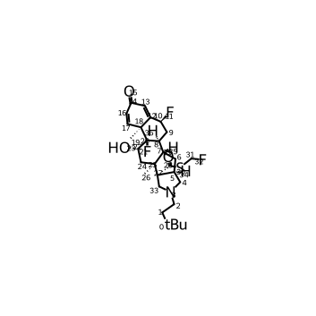 CC(C)(C)CCN1C[C@@H]2C[C@H]3[C@@H]4C[C@H](F)C5=CC(=O)C=C[C@]5(C)[C@@]4(F)[C@@H](O)C[C@]3(C)[C@]2(C(=O)SCF)C1